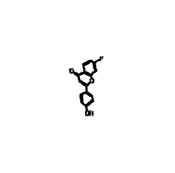 O=c1cc(-c2ccc(O)cc2)oc2cc(F)ccc12